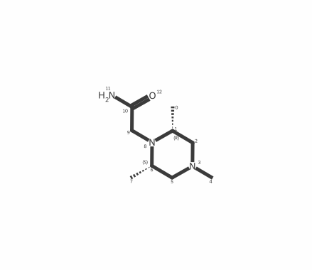 C[C@@H]1CN(C)C[C@H](C)N1CC(N)=O